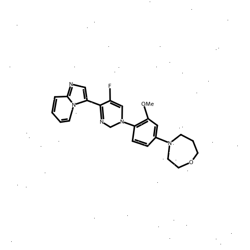 COc1cc(N2CCCOCC2)ccc1N1C=C(F)C(c2cnc3ccccn23)=NC1